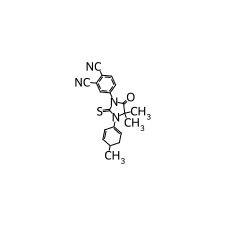 CC1C=CC(N2C(=S)N(c3ccc(C#N)c(C#N)c3)C(=O)C2(C)C)=CC1